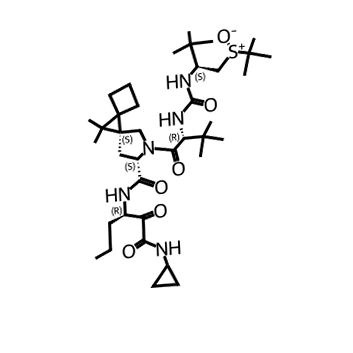 CCC[C@@H](NC(=O)[C@@H]1C[C@]2(CN1C(=O)[C@H](NC(=O)N[C@H](C[S+]([O-])C(C)(C)C)C(C)(C)C)C(C)(C)C)C(C)(C)C21CCC1)C(=O)C(=O)NC1CC1